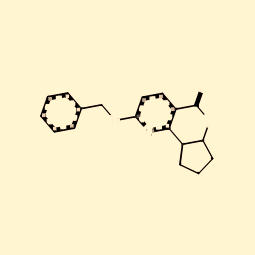 O=C1OC2CCCC2c2nc(BCc3ccccc3)ccc21